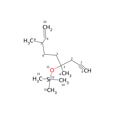 C#CCC(C)(CCC(C)C=C)O[Si](C)(C)C